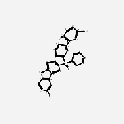 O=P(c1ccccc1)(c1ccc2sc3ccc(F)cc3c2c1)c1ccc2sc3ccc(F)cc3c2c1